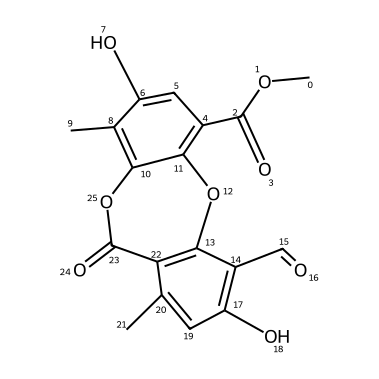 COC(=O)c1cc(O)c(C)c2c1Oc1c(C=O)c(O)cc(C)c1C(=O)O2